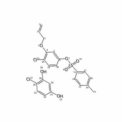 C=CCOc1cc(OS(=O)(=O)c2ccc(C)cc2)ccc1Cl.Oc1ccc(Cl)c(O)c1